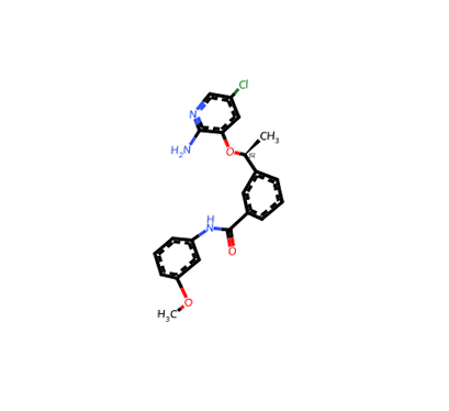 COc1cccc(NC(=O)c2cccc([C@H](C)Oc3cc(Cl)cnc3N)c2)c1